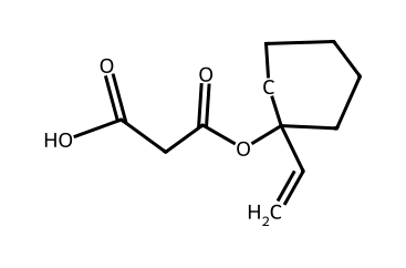 C=CC1(OC(=O)CC(=O)O)CCCCC1